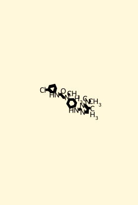 Cc1cnc(N[C@H]2CC[C@@H](N(C)CC(=O)Nc3cccc(Cl)c3)CC2)nc1N(C)C